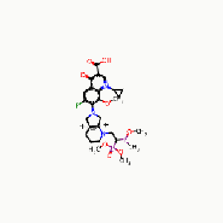 COc1c(N2C[C@@H]3CCCN(CC(P(C)OC)P(=O)(OC)OC)[C@@H]3C2)c(F)cc2c(=O)c(C(=O)O)cn(C3CC3)c12